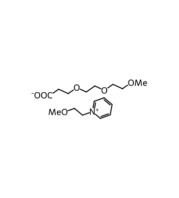 COCCOCCOCCC(=O)[O-].COCC[n+]1ccccc1